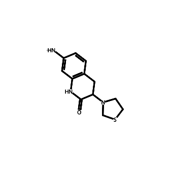 [NH]c1ccc2c(c1)NC(=O)C(N1CCSC1)C2